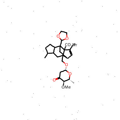 CO[C@H]1C(=O)C[C@H](OCC23CC4C(C)CCC4C4(C5OCCO5)CC2C=C(C(C)C)C34C(=O)O)O[C@@H]1C